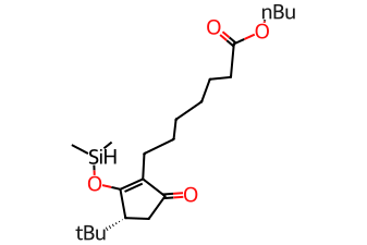 CCCCOC(=O)CCCCCCC1=C(O[SiH](C)C)[C@@H](C(C)(C)C)CC1=O